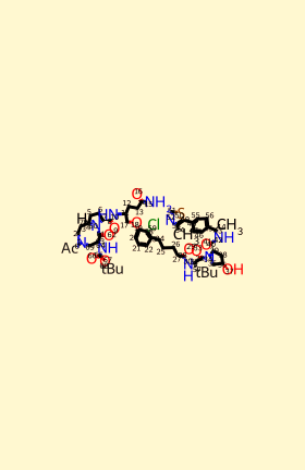 CC(=O)N1CC[C@H]2CC[C@@H](C(=O)NC(CCC(N)=O)COc3cccc(CCCCC(=O)NC(C(=O)N4C[C@H](O)C[C@H]4C(=O)NC(C)c4ccc(-c5scnc5C)cc4)C(C)(C)C)c3Cl)N2C(=O)[C@@H](NC(=O)OC(C)(C)C)C1